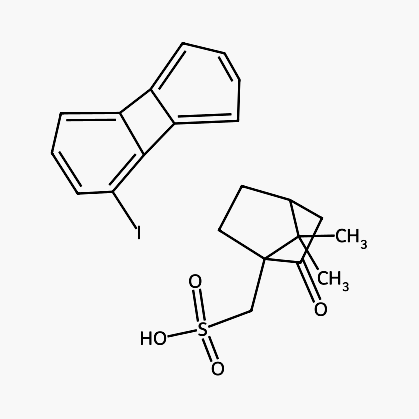 CC1(C)C2CCC1(CS(=O)(=O)O)C(=O)C2.Ic1cccc2c1-c1ccccc1-2